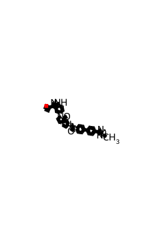 Cn1cnc(-c2ccc(C3=CCN(C(=O)CN4CC[C@]5(CCN(c6ccc7[nH]nc(C89CC(C8)C9)c7c6)C5=O)C4)CC3)cc2)n1